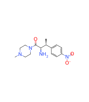 C[C@@H](c1ccc([N+](=O)[O-])cc1)[C@@H](N)C(=O)N1CCN(C)CC1